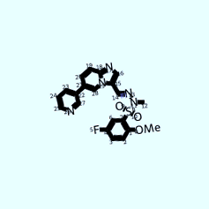 COc1ccc(F)cc1S(=O)(=O)N(C)/N=C/c1cnc2ccc(-c3cccnc3)cn12